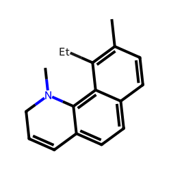 CCc1c(C)ccc2ccc3c(c12)N(C)CC=C3